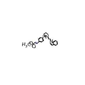 COC(=O)/C=C/c1ccc([C@@H]2CCCN2CCn2ccc3ccccc32)cc1